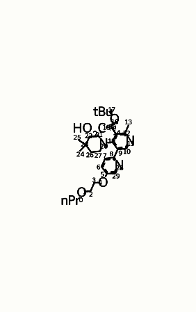 CCCOCCOc1ccc(-c2cnc(C)c([C@H](OC(C)(C)C)C(=O)O)c2N2CCC(C)(C)CC2)nc1